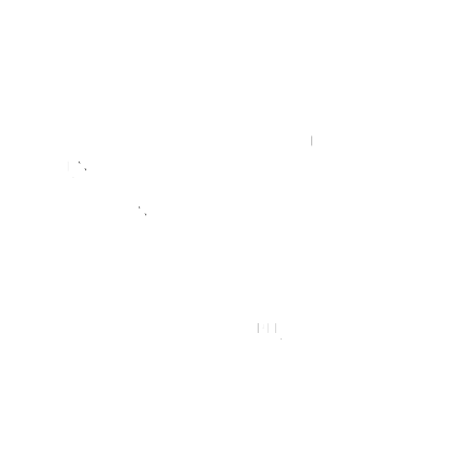 Bc1cccc(C2(c3ccc(OC(F)F)c(F)c3)COC(N)=N2)c1